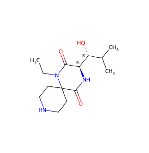 CCN1C(=O)[C@@H]([C@H](O)C(C)C)NC(=O)C12CCNCC2